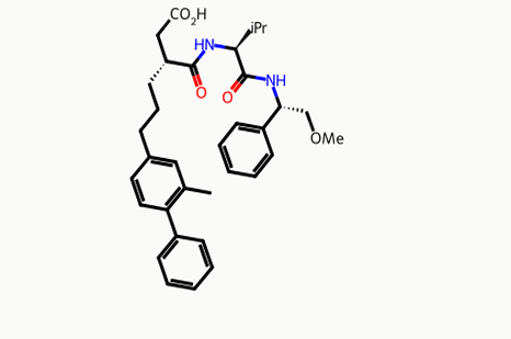 COC[C@@H](NC(=O)[C@@H](NC(=O)[C@H](CCCc1ccc(-c2ccccc2)c(C)c1)CC(=O)O)C(C)C)c1ccccc1